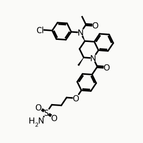 CC(=O)N(c1ccc(Cl)cc1)[C@@H]1C[C@H](C)N(C(=O)c2ccc(OCCCS(N)(=O)=O)cc2)c2ccccc21